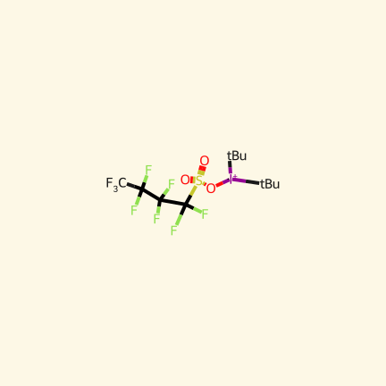 CC(C)(C)[I+](OS(=O)(=O)C(F)(F)C(F)(F)C(F)(F)C(F)(F)F)C(C)(C)C